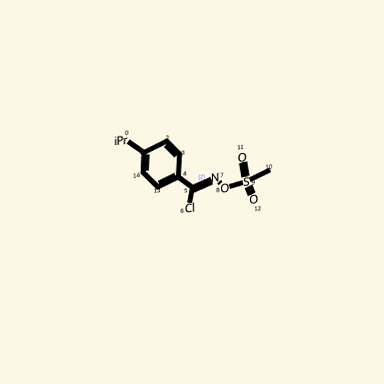 CC(C)c1ccc(/C(Cl)=N/OS(C)(=O)=O)cc1